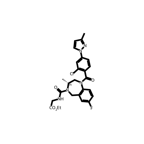 CCOC(=O)CNC(=O)N1Cc2cc(F)ccc2N(C(=O)c2ccc(-n3ccc(C)n3)cc2Cl)C[C@H]1C